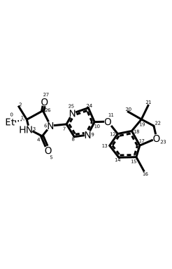 CC[C@@]1(C)NC(=O)N(c2cnc(Oc3ccc(C)c4c3C(C)(C)CO4)cn2)C1=O